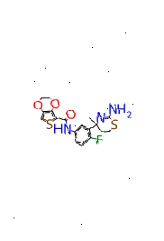 CC1(c2cc(NC(=O)c3scc4c3OCCO4)ccc2F)CCSC(N)=N1